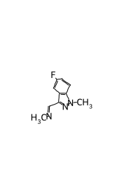 C/N=C/c1nn(C)c2ccc(F)cc12